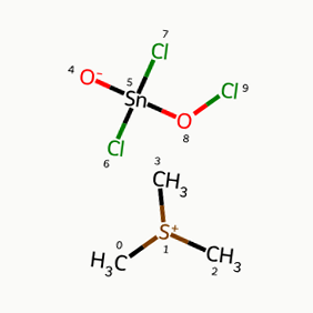 C[S+](C)C.[O-][Sn]([Cl])([Cl])[O]Cl